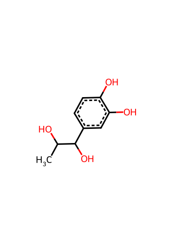 CC(O)C(O)c1ccc(O)c(O)c1